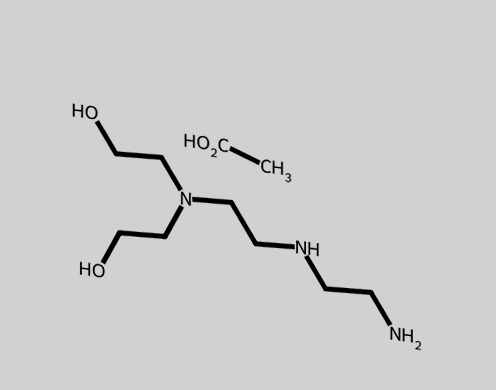 CC(=O)O.NCCNCCN(CCO)CCO